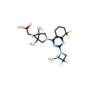 C[C@H]1N(c2nc(N3CC4(C)[C@@H](CC(=O)O)[C@]4(C)C3)c3c(n2)C(F)(F)CCC3)CC1(F)F